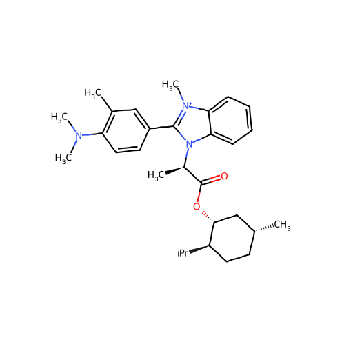 Cc1cc(-c2n([C@H](C)C(=O)O[C@@H]3C[C@H](C)CC[C@H]3C(C)C)c3ccccc3[n+]2C)ccc1N(C)C